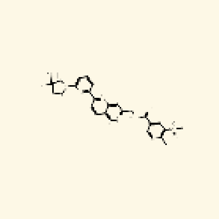 Cc1ccc(C(=O)NCc2cc3nc(-c4cccc(N5CCC(N)(C(F)(F)F)C5)n4)ccc3cn2)cc1S(C)(=O)=O